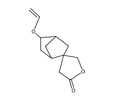 C=COC1CC2CC1CC21COC(=O)C1